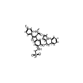 CNC(=O)c1c(-c2ccc(F)cc2)oc2cc(NCS(C)(=O)=O)c(OC(Cc3ccccc3)c3ncc[nH]3)cc12